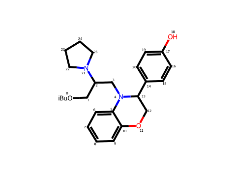 CC(C)COCC(CN1c2ccccc2OCC1c1ccc(O)cc1)N1CCCC1